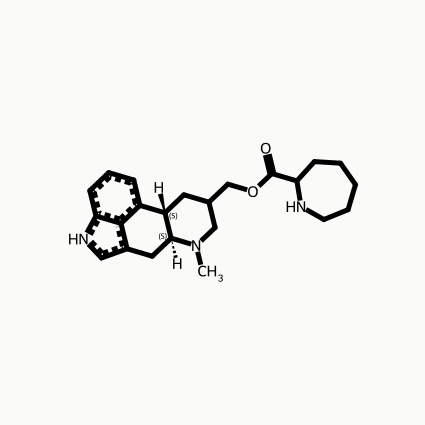 CN1CC(COC(=O)C2CCCCCN2)C[C@H]2c3cccc4[nH]cc(c34)C[C@@H]21